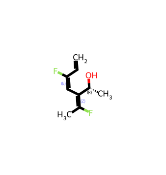 C=C/C(F)=C\C(=C(/C)F)[C@@H](C)O